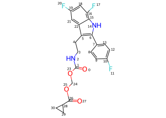 O=C(NCCc1c(-c2ccc(F)cc2)[nH]c2c(F)cc(F)cc12)OCOC(=O)C1CC1